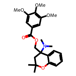 COc1cc(C(=O)OCC2(N(C)C)CC(C)(C)Oc3ccccc32)cc(OC)c1OC